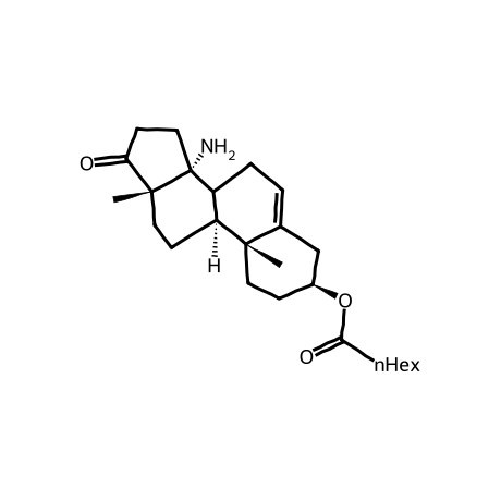 CCCCCCC(=O)O[C@H]1CC[C@@]2(C)C(=CCC3[C@@H]2CC[C@]2(C)C(=O)CC[C@@]32N)C1